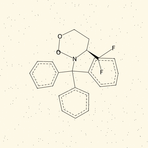 O=C1OCC[C@@H](C(F)F)N1C(c1ccccc1)(c1ccccc1)c1ccccc1